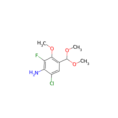 COc1c(C(OC)OC)cc(Cl)c(N)c1F